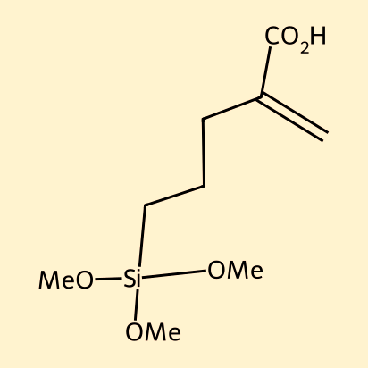 C=C(CCC[Si](OC)(OC)OC)C(=O)O